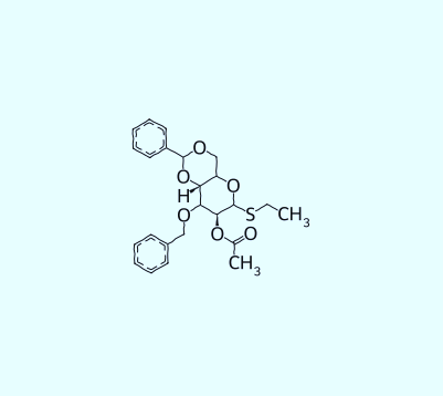 CCSC1OC2COC(c3ccccc3)O[C@H]2C(OCc2ccccc2)[C@@H]1OC(C)=O